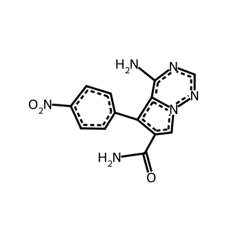 NC(=O)c1cn2ncnc(N)c2c1-c1ccc([N+](=O)[O-])cc1